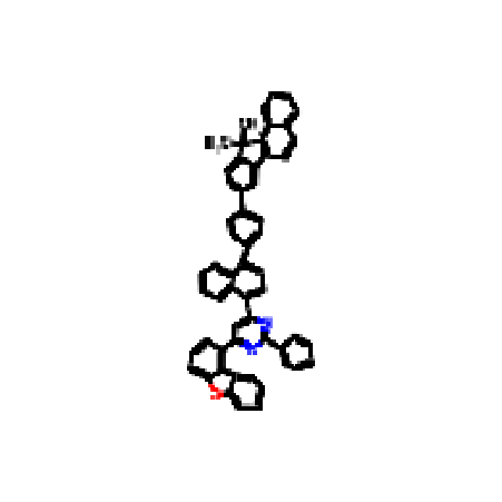 CC1(C)c2ccc(-c3ccc(-c4ccc(-c5cc(-c6cccc7oc8ccccc8c67)nc(-c6ccccc6)n5)c5ccccc45)cc3)cc2-c2ccc3ccccc3c21